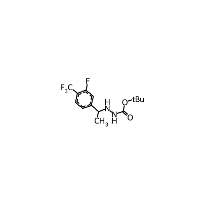 CC(NNC(=O)OC(C)(C)C)c1ccc(C(F)(F)F)c(F)c1